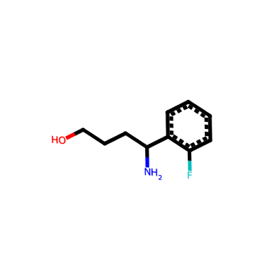 NC(CCCO)c1ccccc1F